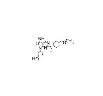 COC[C@H]1CC[C@H](Nc2ncc(C(N)=O)c(N[C@H]3CCC(O)C3)n2)CC1